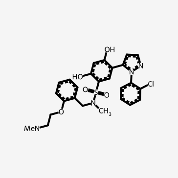 CNCCOc1ccccc1CN(C)S(=O)(=O)c1cc(-c2ccnn2-c2ccccc2Cl)c(O)cc1O